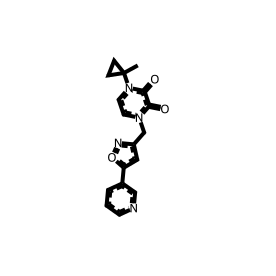 CC1(n2ccn(Cc3cc(-c4cccnc4)on3)c(=O)c2=O)CC1